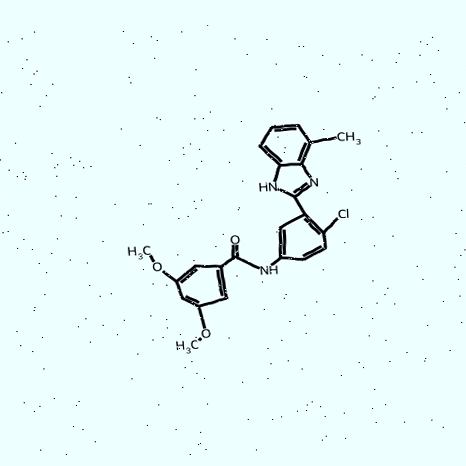 COc1cc(OC)cc(C(=O)Nc2ccc(Cl)c(-c3nc4c(C)cccc4[nH]3)c2)c1